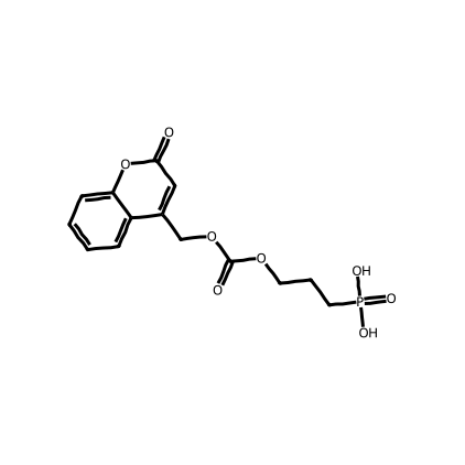 O=C(OCCCP(=O)(O)O)OCc1cc(=O)oc2ccccc12